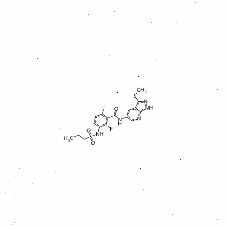 CCCS(=O)(=O)Nc1ccc(I)c(C(=O)Nc2cnc3[nH]nc(SC)c3c2)c1F